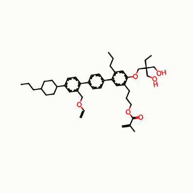 C=COCc1cc(C2CCC(CCC)CC2)ccc1-c1ccc(-c2cc(CCCOC(=O)C(=C)C)c(OCC(CC)(CO)CO)cc2CCC)cc1